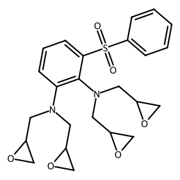 O=S(=O)(c1ccccc1)c1cccc(N(CC2CO2)CC2CO2)c1N(CC1CO1)CC1CO1